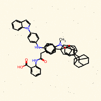 CN(c1ccc(CC(=O)Nc2ccccc2C(=O)O)cc1)c1ccc(C23CC4CC(C2)C(C2C5CC6CC2CC(c2ccc(Nc7ccc(-n8ccc9ccccc98)cc7)cc2)(C6)C5)C(C4)C3)cc1